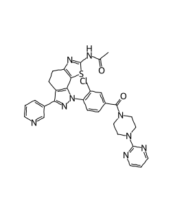 CC(=O)Nc1nc2c(s1)-c1c(c(-c3cccnc3)nn1-c1ccc(C(=O)N3CCN(c4ncccn4)CC3)cc1Cl)CC2